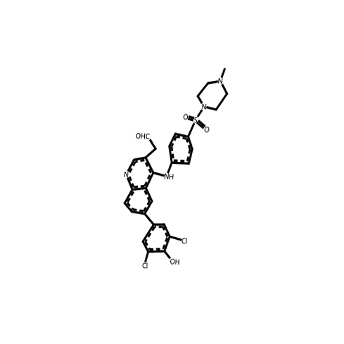 CN1CCN(S(=O)(=O)c2ccc(Nc3c(CC=O)cnc4ccc(-c5cc(Cl)c(O)c(Cl)c5)cc34)cc2)CC1